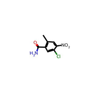 Cc1cc([N+](=O)[O-])c(Cl)cc1C(N)=O